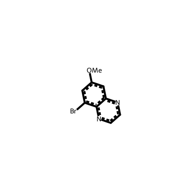 COc1cc(Br)c2nccnc2c1